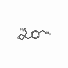 CCc1ccc(CC2(CC)COC2)cc1